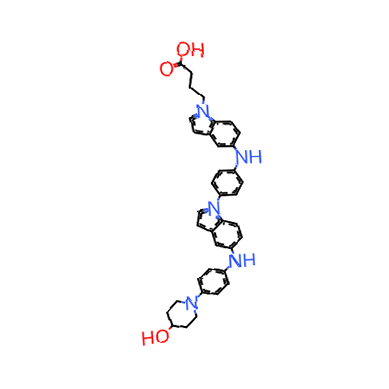 O=C(O)CCCn1ccc2cc(Nc3ccc(-n4ccc5cc(Nc6ccc(N7CCC(O)CC7)cc6)ccc54)cc3)ccc21